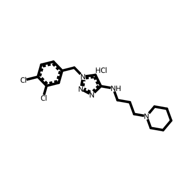 Cl.Clc1ccc(Cn2cc(NCCCN3CCCCC3)nn2)cc1Cl